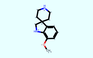 COc1cccc2c1NCC21CCNCC1